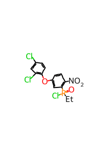 CCP(=O)(Cl)c1cc(Oc2ccc(Cl)cc2Cl)ccc1[N+](=O)[O-]